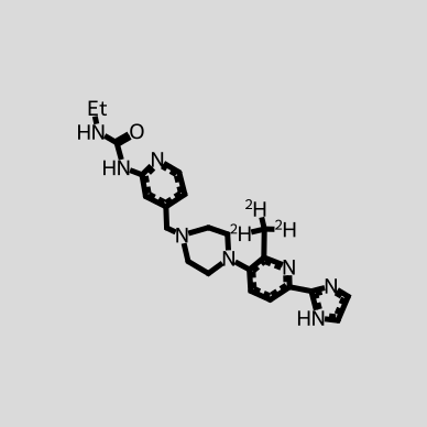 [2H]C([2H])([2H])c1nc(-c2ncc[nH]2)ccc1N1CCN(Cc2ccnc(NC(=O)NCC)c2)CC1